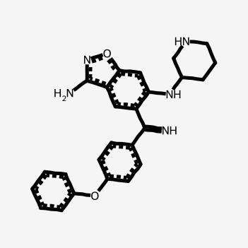 N=C(c1ccc(Oc2ccccc2)cc1)c1cc2c(N)noc2cc1NC1CCCNC1